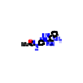 CC(C)(C)c1cc(Nc2ccc(Nc3ncnc(N)c3C(=N)c3ccccc3)cc2)no1